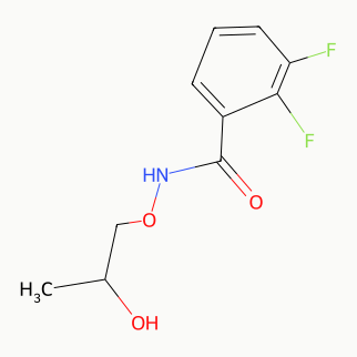 CC(O)CONC(=O)c1cccc(F)c1F